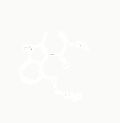 Cc1[nH]c2cccc(OCC(=O)O)c2c1C(=O)C(N)=O